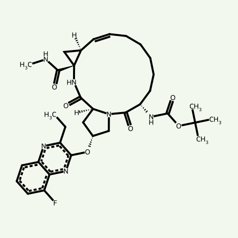 CCc1nc2cccc(F)c2nc1O[C@@H]1C[C@H]2C(=O)N[C@]3(C(=O)NC)C[C@H]3/C=C\CCCCC[C@H](NC(=O)OC(C)(C)C)C(=O)N2C1